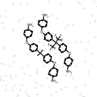 CC(C)(c1ccc(Oc2ccc(N)cc2)cc1)c1ccc(Oc2ccc(N)cc2)cc1.Nc1ccc(Oc2ccc(C(c3ccc(Oc4ccc(N)cc4)cc3)(C(F)(F)F)C(F)(F)F)cc2)cc1